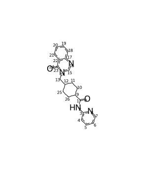 O=C(Nc1ccccn1)C1CCC(Cn2cnc3ccccc3c2=O)CC1